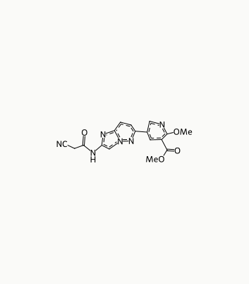 COC(=O)c1cc(-c2ccc3nc(NC(=O)CC#N)cn3n2)cnc1OC